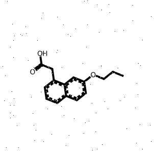 CCCOc1ccc2cccc(CC(=O)O)c2c1